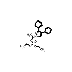 CCOP(=O)(OCC)OCC.c1ccc(-c2c[nH]nc2-c2ccccc2)cc1